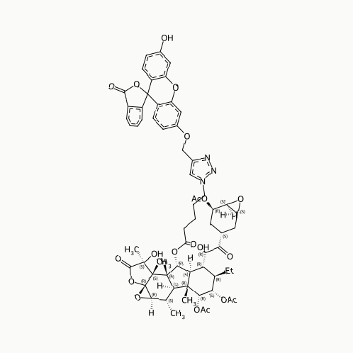 CC[C@H]1[C@H](OC(C)=O)[C@H](OC(C)=O)[C@@]2(C)[C@@H]([C@@H](OC(=O)CCCCn3cc(COc4ccc5c(c4)Oc4cc(O)ccc4C54OC(=O)c5ccccc54)nn3)[C@@H]3[C@@H]2[C@H](C)[C@H]2O[C@]24OC(=O)[C@@](C)(O)[C@]34C)[C@@H]1[C@@H](O)C(=O)[C@H]1C[C@@H]2O[C@@H]2[C@H](OC(C)=O)C1